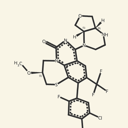 CO[C@@H]1CSc2c(-c3cc(Cl)c(F)cc3F)c(C(F)(F)F)cc3c(N4CCN[C@H]5COC[C@H]54)nc(=O)n(c23)C1